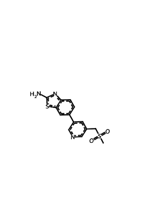 CS(=O)(=O)Cc1cncc(-c2ccc3nc(N)sc3c2)c1